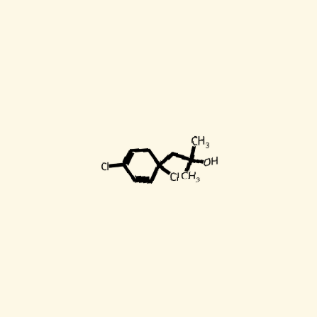 CC(C)(O)CC1(Cl)C=CC(Cl)=CC1